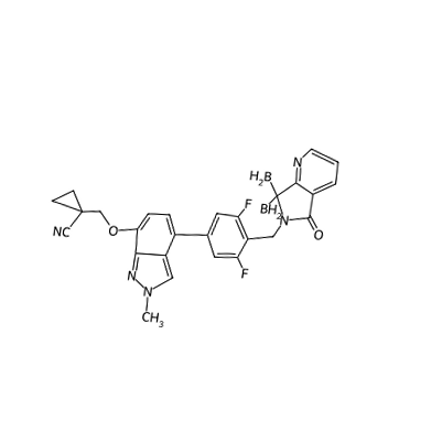 BC1(B)c2ncccc2C(=O)N1Cc1c(F)cc(-c2ccc(OCC3(C#N)CC3)c3nn(C)cc23)cc1F